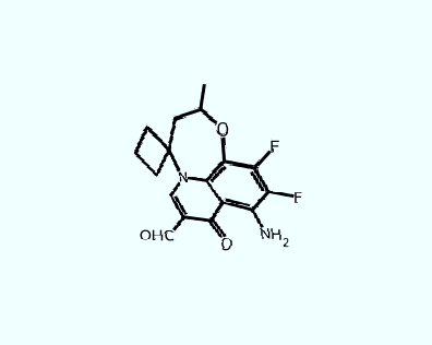 CC1CC2(CCC2)n2cc(C=O)c(=O)c3c(N)c(F)c(F)c(c32)O1